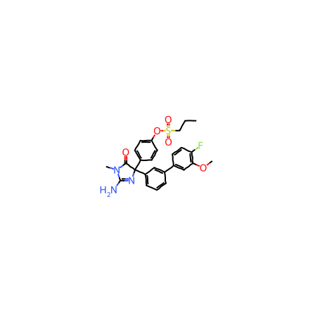 CCCS(=O)(=O)Oc1ccc(C2(c3cccc(-c4ccc(F)c(OC)c4)c3)N=C(N)N(C)C2=O)cc1